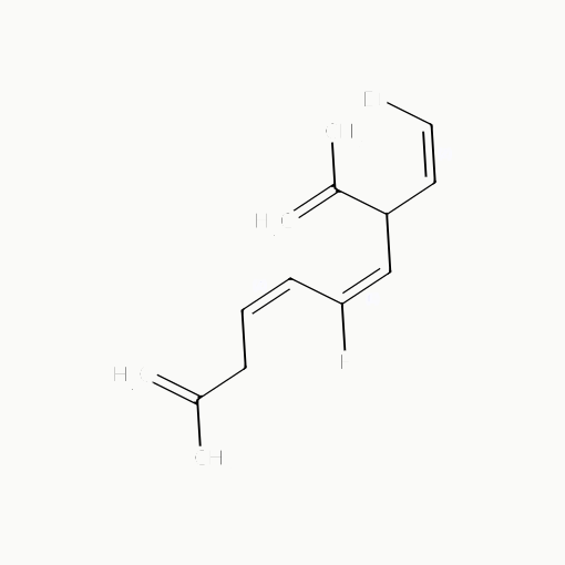 C=C(C)C/C=C\C(F)=C/C(/C=C\CC)C(=C)C